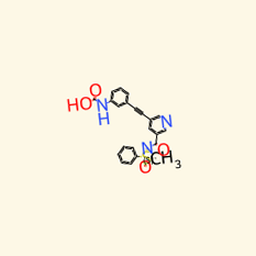 C[S@@](=O)(=NC(=O)c1cncc(C#Cc2cccc(NC(=O)O)c2)c1)c1ccccc1